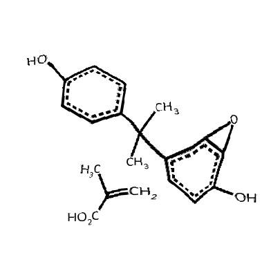 C=C(C)C(=O)O.CC(C)(c1ccc(O)cc1)c1ccc(O)c2c1O2